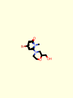 Cn1c(N2CCOC(CO)C2)cc(Br)cc1=O